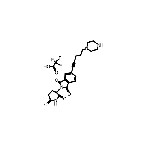 O=C(O)C(F)(F)F.O=C1CCC(N2C(=O)c3ccc(C#CCCCN4CCNCC4)cc3C2=O)C(=O)N1